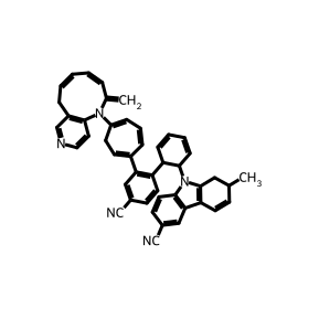 C=C1/C=C\C=C/Cc2cnccc2N1C1=CC=CC(c2cc(C#N)ccc2C2C=CC=CC2n2c3c(c4cc(C#N)ccc42)C=CC(C)C3)=CC1